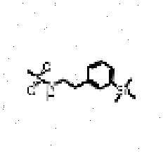 CS(=O)(=O)NCCc1ccc[c]([Sn]([CH3])([CH3])[CH3])c1